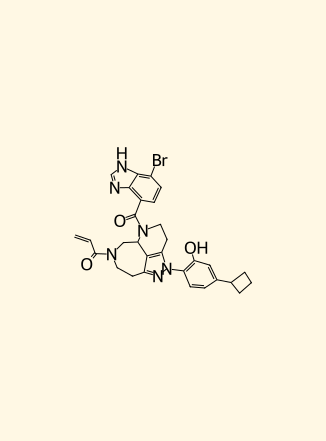 C=CC(=O)N1CCc2nn(-c3ccc(C4CCC4)cc3O)c3c2C(C1)N(C(=O)c1ccc(Br)c2[nH]cnc12)CC3